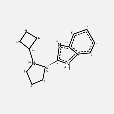 c1ccc2[nH]c([C@@H]3CCCN3C3CCC3)nc2c1